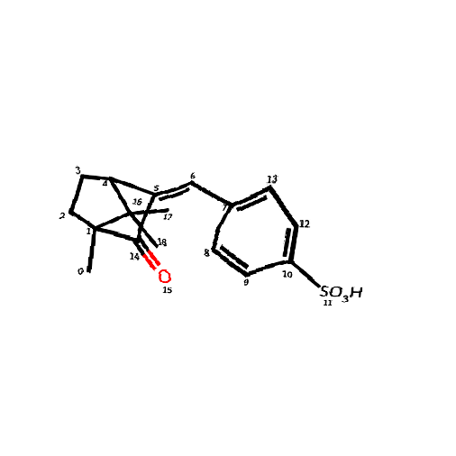 CC12CCC(C(=Cc3ccc(S(=O)(=O)O)cc3)C1=O)C2(C)C